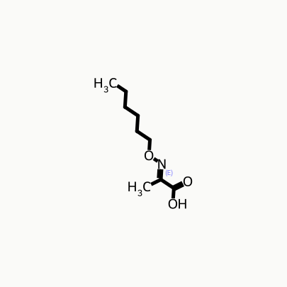 CCCCCCO/N=C(\C)C(=O)O